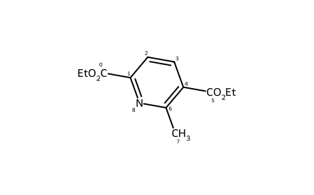 CCOC(=O)c1ccc(C(=O)OCC)c(C)n1